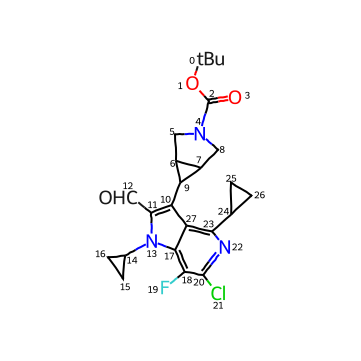 CC(C)(C)OC(=O)N1CC2C(C1)C2c1c(C=O)n(C2CC2)c2c(F)c(Cl)nc(C3CC3)c12